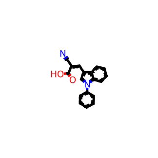 N#C/C(=C/c1cn(-c2ccccc2)c2ccccc12)C(=O)O